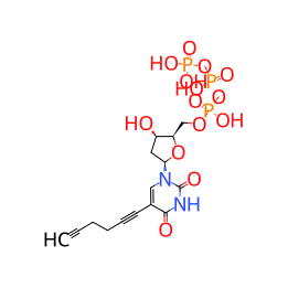 C#CCCC#Cc1cn([C@H]2C[C@@H](O)[C@@H](COP(=O)(O)OP(=O)(O)OP(=O)(O)O)O2)c(=O)[nH]c1=O